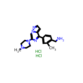 Cc1cc(-c2nc(N3CCN(C)CC3)cn3nccc23)ccc1CN.Cl.Cl